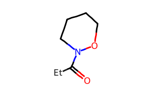 CCC(=O)N1CCCCO1